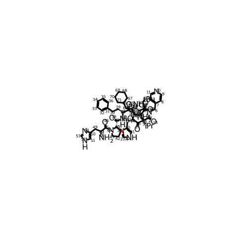 CC[C@H](C)[C@H](N)C(=O)N(Cc1ccncc1)C(=O)[C@@](C(=O)[C@H](Cc1c[nH]cn1)NC(=O)[C@H](CCc1ccccc1)NC(=O)[C@@H]1CCCN1C(=O)[C@@H](N)Cc1c[nH]cn1)(C(C)C)C(C(=O)OC(C)(C)C)[C@H](O)[C@@H](N)CC1CCCCC1